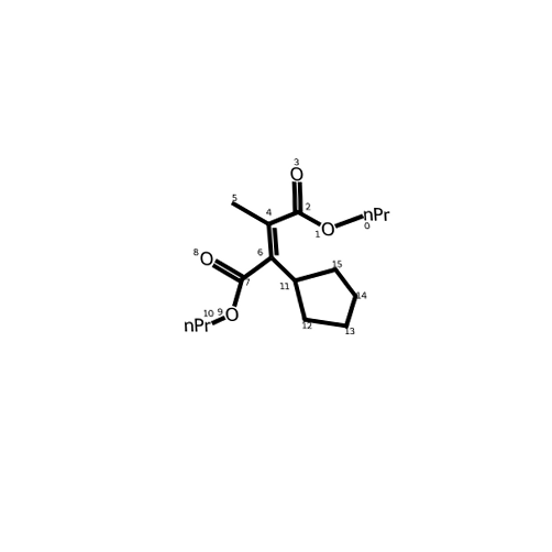 CCCOC(=O)C(C)=C(C(=O)OCCC)C1CCCC1